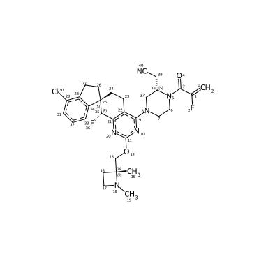 C=C(F)C(=O)N1CCN(c2nc(OC[C@@]3(C)CCN3C)nc3c2CC[C@@]2(CCc4c(Cl)cccc42)[C@H]3F)C[C@@H]1CC#N